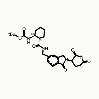 CC(C)(C)OC(=O)N[C@H]1CCCC[C@@H]1C(=O)NCc1ccc2c(c1)CN(C1CCC(=O)NC1=O)C2=O